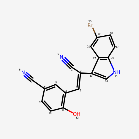 N#C/C(=C\c1cc(C#N)ccc1O)c1c[nH]c2ccc(Br)cc12